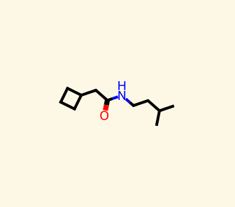 CC(C)CCNC(=O)CC1CCC1